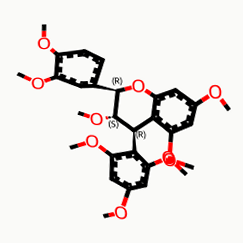 COc1cc(OC)c([C@@H]2c3c(OC)cc(OC)cc3O[C@H](c3ccc(OC)c(OC)c3)[C@H]2OC)c(OC)c1